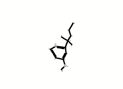 CCCC(C)(C)c1cc(OC)ccn1